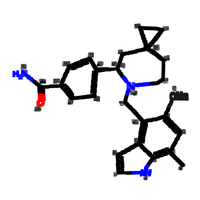 COc1cc(C)c2[nH]ccc2c1CN1CCC2(CC2)C[C@@H]1c1ccc(C(N)=O)cc1